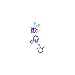 Cc1cccnc1CCn1ccc(-c2nnc(C(F)F)o2)cc1=O